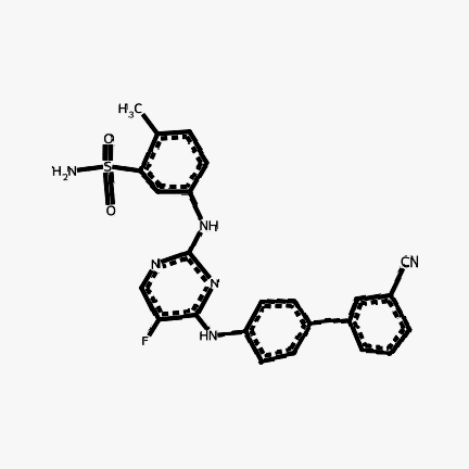 Cc1ccc(Nc2ncc(F)c(Nc3ccc(-c4cccc(C#N)c4)cc3)n2)cc1S(N)(=O)=O